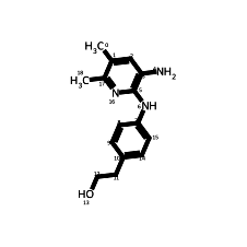 Cc1cc(N)c(Nc2ccc(CCO)cc2)nc1C